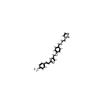 FC(F)(F)c1ccc(/C=C/c2nc(COc3ccc(CSCCn4ccnn4)cc3)co2)cc1